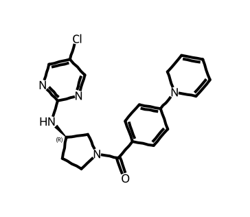 O=C(c1ccc(N2C=CC=CC2)cc1)N1CC[C@@H](Nc2ncc(Cl)cn2)C1